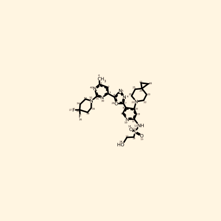 Cc1cc(-c2nnc(-c3cnc(NS(=O)(=O)CCO)cc3N3CCC4(CC3)CC4)o2)nc(N2CCC(F)(F)CC2)n1